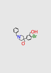 O=CC1(c2ccc(Br)c(CO)c2)CCN(Cc2ccccc2)CC1